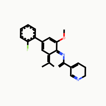 C=C(/N=C1/C(OC)=CC(c2ccccc2F)=CC1=C(C)C)C1=CCCN=C1